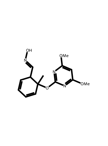 COc1cc(OC)nc(OC2(C)C=CC=CC2C=NO)n1